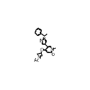 CC(=O)N1CC(Oc2cc(=O)n(C)cc2-c2cnn(C(C)c3ccccc3)c2)C1